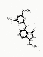 COc1cc(OC)nc(Oc2cccc3c2C(=O)OC3SC)n1